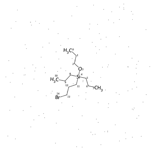 CCCO[Si](CCC)(CCC)CCCBr